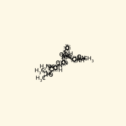 CCCN(CCC)C(=O)C1=Cc2ccc(C(=O)Nc3cncc(CNC(=O)C(Cc4ccccc4)NC(=O)OCc4ccc(NC(=O)CNC)cc4)c3)cc2N=C(N)C1